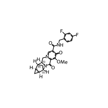 COc1c2n(cc(C(=O)NCc3ccc(F)cc3F)c1=O)C[C@@H]1[C@@H]3C[C@@H]([C@H]4C[C@@H]34)N1C2=O